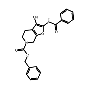 N#Cc1c(NC(=O)c2ccccc2)sc2c1CCN(C(=O)OCc1ccccc1)C2